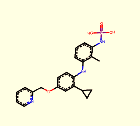 Cc1c(Nc2ccc(OCc3ccccn3)cc2C2CC2)cccc1NP(=O)(O)O